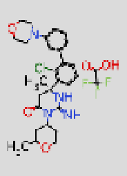 C[C@H]1C[C@@H](N2C(=N)N[C@](C)(c3cccc(-c4cccc(N5CCOCC5)c4)c3Cl)CC2=O)CCO1.O=C(O)C(F)(F)F